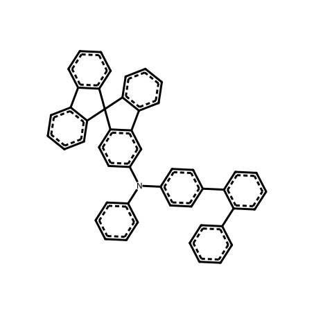 c1ccc(-c2ccccc2-c2ccc(N(c3ccccc3)c3ccc4c(c3)-c3ccccc3C43c4ccccc4-c4ccccc43)cc2)cc1